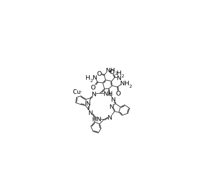 NC(=O)c1c(C(N)=O)c(C(N)=O)c2c3nc4nc(nc5[nH]c(nc6nc(nc([nH]3)c2c1C(N)=O)-c1ccccc1-6)c1ccccc51)-c1ccccc1-4.[Cu]